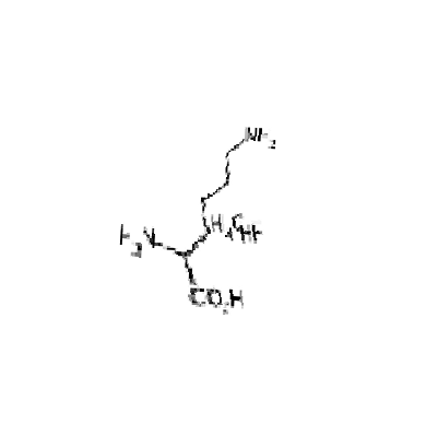 C.F.NCCCCC(N)C(=O)O